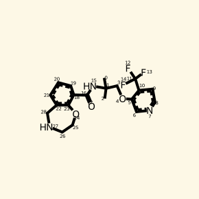 CC(C)(COc1cnccc1C(F)(F)F)NC(=O)c1cccc2c1OCCNC2